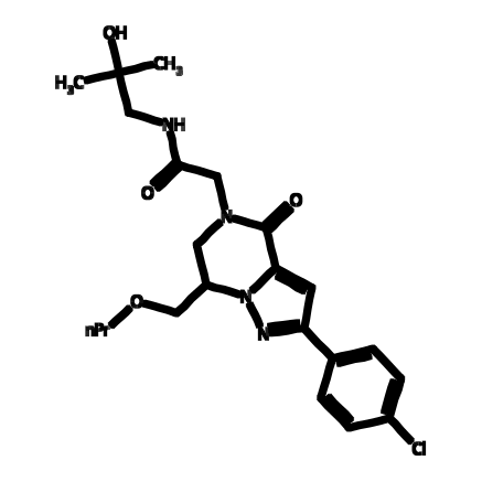 CCCOCC1CN(CC(=O)NCC(C)(C)O)C(=O)c2cc(-c3ccc(Cl)cc3)nn21